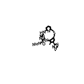 CNC(=O)c1nnc2nc1Nc1cc(cc(-c3ncn(C)n3)c1C)CSCc1cccc(n1)N2